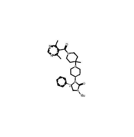 Cc1ncnc(C)c1C(=O)N1CCC(C)(N2CCC(N3C(=O)N(C(C)(C)C)C[C@H]3c3ccccc3)CC2)CC1